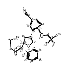 N#Cc1ccc(OCC(F)(F)F)c([C@@H]2CO[C@]3(CCCN[C@H]3c3ccccc3)C2)c1